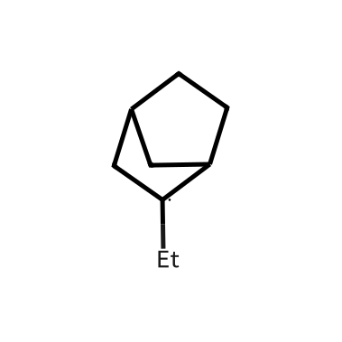 CC[C]1CC2CCC1C2